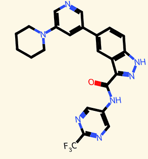 O=C(Nc1cnc(C(F)(F)F)nc1)c1n[nH]c2ccc(-c3cncc(N4CCCCC4)c3)cc12